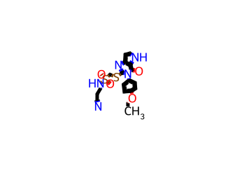 CCOc1ccc(-n2c(SCS(=O)(=O)NCCC#N)nc3cc[nH]c3c2=O)cc1